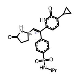 CC(C)NS(=O)(=O)c1ccc(/C(=C\[C@H]2CCC(=O)N2)c2ccc(C3CC3)c(=O)[nH]2)cc1